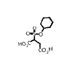 O=C(O)CC(C(=O)O)S(=O)(=O)OC1CCCCC1